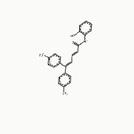 O=C(C=CC=C(c1ccc(C(F)(F)F)cc1)c1ccc(C(F)(F)F)cc1)Nc1ccccc1O